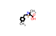 Cc1ccc(Cc2nc(C)c(C(=O)O)s2)cc1